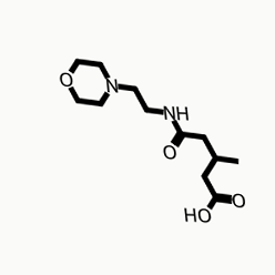 CC(CC(=O)O)CC(=O)NCCN1CCOCC1